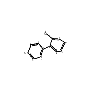 Clc1c[c]ccc1-c1ccncn1